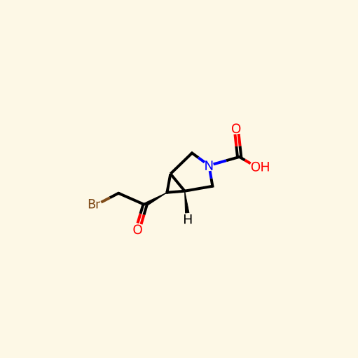 O=C(CBr)[C@H]1C2CN(C(=O)O)C[C@@H]21